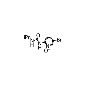 CC(C)NC(=O)Nc1ccc(Br)c[n+]1[O-]